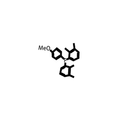 COc1ccc(P(c2cccc(C)c2C)c2cccc(C)c2C)cc1